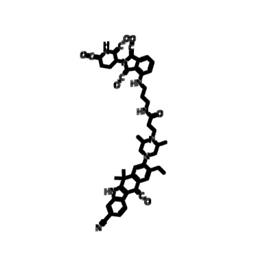 CCc1cc2c(cc1N1CC(C)N(CCC(=O)NCCCNc3cccc4c(=C=O)n(C5CCC(=C=O)NC5=C=O)c(=C=O)c34)C(C)C1)C(C)(C)c1[nH]c3cc(C#N)ccc3c1C2=C=O